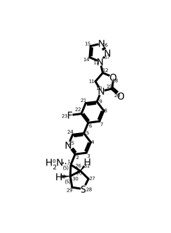 N[C@]1(c2ccc(-c3ccc(N4CC(n5ccnn5)OC4=O)cc3F)cn2)[C@@H]2CSC[C@@H]21